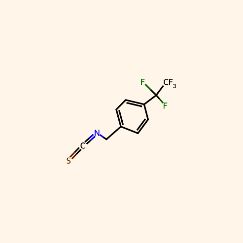 FC(F)(F)C(F)(F)c1ccc(CN=C=S)cc1